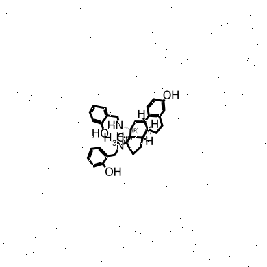 C[C@@]12[C@H](NCc3ccccc3O)CC[C@H]1[C@@H]1CCc3cc(O)ccc3[C@H]1C[C@H]2NCc1ccccc1O